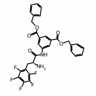 N[C@@H](Cc1c(F)c(F)c(F)c(F)c1F)C(=O)Nc1cc(C(=O)OCc2ccccc2)cc(C(=O)OCc2ccccc2)c1